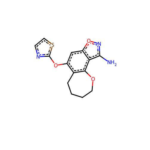 Nc1noc2cc(Oc3nccs3)c3c(c12)OCCCC3